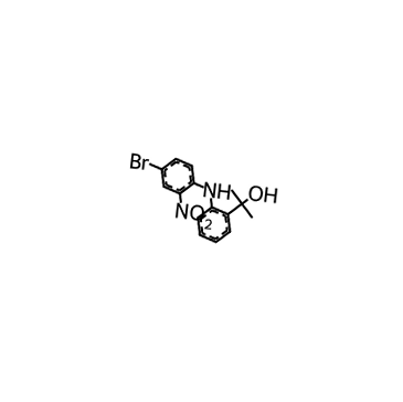 CC(C)(O)c1ccccc1Nc1ccc(Br)cc1[N+](=O)[O-]